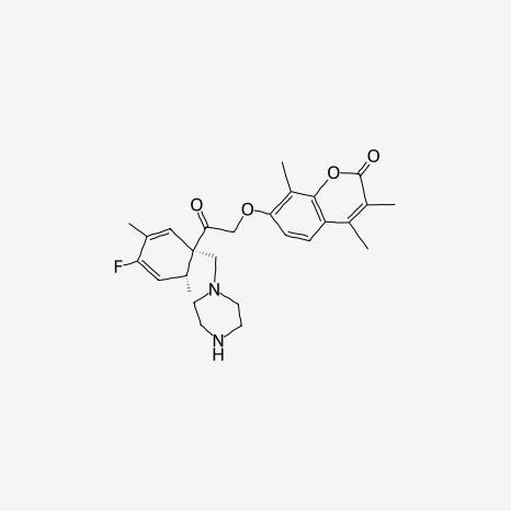 CC1=C[C@@](CN2CCNCC2)(C(=O)COc2ccc3c(C)c(C)c(=O)oc3c2C)[C@H](C)C=C1F